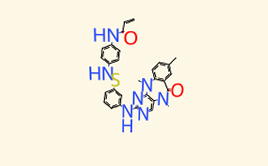 C=CC(=O)Nc1ccc(NSc2cccc(Nc3ncc4c(n3)N(C)c3ccc(C)cc3C(=O)N4C)c2)cc1